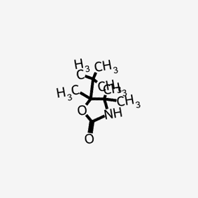 CC(C)(C)C1(C)OC(=O)NC1(C)C